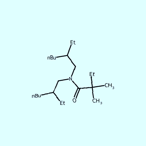 CCCCC(CC)CN(CC(CC)CCCC)C(=O)C(C)(C)CC